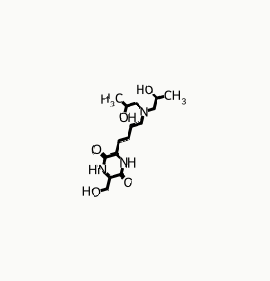 CC(O)CN(CCCCC1NC(=O)C(CO)NC1=O)CC(C)O